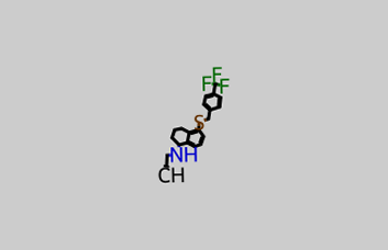 C#CCNC1CCCc2c(SCc3ccc(C(F)(F)F)cc3)cccc21